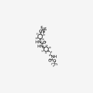 CC(C)(C)OC(=O)NCCc1ccc(NC(=O)Nc2ccc(OC(F)(F)F)cc2)cc1